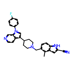 Cc1c(CN2CCC(c3cn(-c4ccc(F)cc4)c4cnccc34)CC2)ccc2[nH]c(C#N)cc12